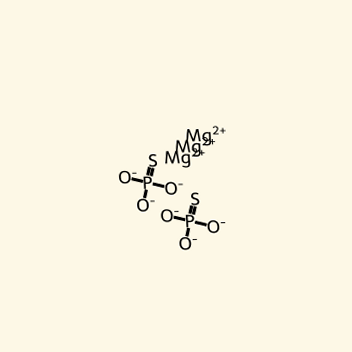 [Mg+2].[Mg+2].[Mg+2].[O-]P([O-])([O-])=S.[O-]P([O-])([O-])=S